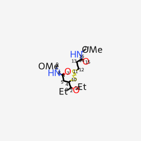 CCOC(CC)C(CC(=O)NOC)SSCCC(=O)NOC